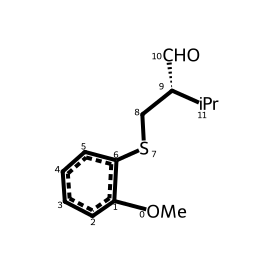 COc1ccccc1SC[C@H](C=O)C(C)C